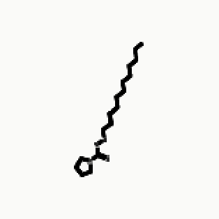 CCCCCCCCCCCCSSC(=S)N1CCCC1